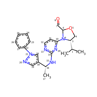 CC(C)[C@H]1COC(C=O)N1c1ccnc(N[C@H](C)c2cnn(-c3ccccc3)c2)n1